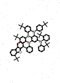 CC(C)(C)c1ccc(N2c3ccc(C(C)(C)C)cc3B3c4cc(C(C)(C)C)ccc4N(c4ccccc4-c4cccc5c4oc4c(C(C)(C)C)cccc45)c4cc(N(c5ccccc5C(C)(C)C)c5ccccc5C(C)(C)C)cc2c43)cc1